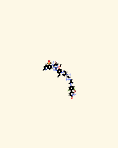 CCOc1cc(N2CCC(NCCNCC3CN(c4cc(F)c([C@H]5CCC(=O)NC5=O)c(F)c4)C3)CC2)c(CC)cc1Nc1ncc(Br)c(Nc2ccc3nc(C)ccc3c2P(C)(C)=O)n1